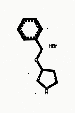 Br.c1ccc(COC2CCNC2)cc1